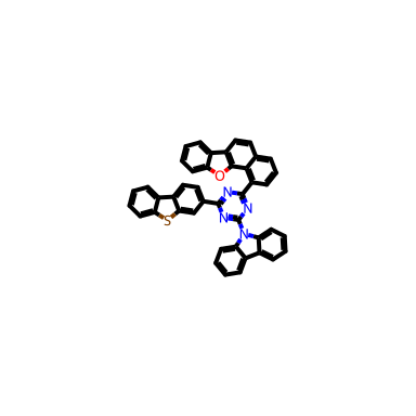 c1cc(-c2nc(-c3ccc4c(c3)sc3ccccc34)nc(-n3c4ccccc4c4ccccc43)n2)c2c(c1)ccc1c3ccccc3oc12